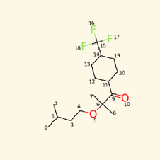 CC(C)CCOC(C)(C)C(=O)C1CCC(C(F)(F)F)CC1